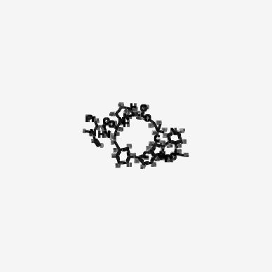 C#CN(C)C(C(=O)N[C@H]1Cc2cccc(c2)-c2ccc3c(c2)c(c(-c2cnccc2[C@H](C)OC)n3CC)CC(C)(C)COC(=O)[C@@H]2CCCN(N2)C1=O)C(C)C